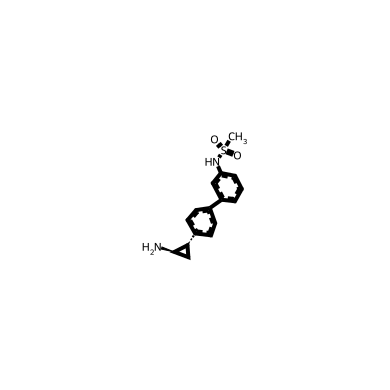 CS(=O)(=O)Nc1cccc(-c2ccc([C@@H]3C[C@H]3N)cc2)c1